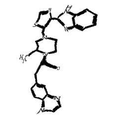 CC1CN(c2scnc2-c2nc3ccccc3[nH]2)CCN1C(=O)Cc1ccc2nccnc2c1